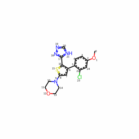 COc1ccc(-c2cc(N3CCOCC3)sc2-c2nnc[nH]2)c(Cl)c1